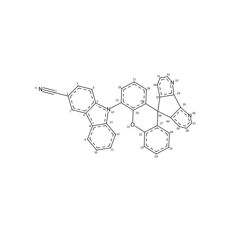 N#Cc1ccc2c(c1)c1ccccc1n2-c1cccc2c1Oc1ccccc1C21c2cccnc2-c2ncccc21